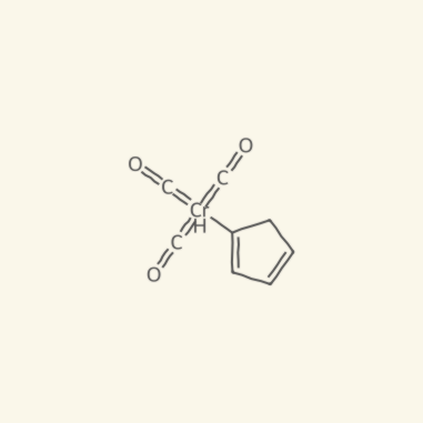 O=[C]=[CrH](=[C]=O)(=[C]=O)[C]1=CC=CC1